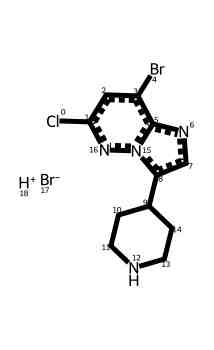 Clc1cc(Br)c2ncc(C3CCNCC3)n2n1.[Br-].[H+]